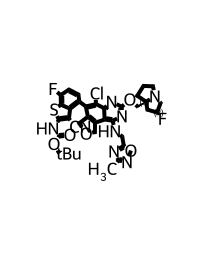 Cc1noc(CNc2nc(OC[C@@]34CCCN3C[C@H](F)C4)nc3c(Cl)c(-c4ccc(F)c5sc(NC(=O)OC(C)(C)C)c(C#N)c45)c4c(c23)COC4)n1